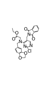 CCOC(=O)CN(Cc1ccc2c(c1)OCO2)c1nc(Cl)ncc1CN1C(=O)c2ccccc2C1=O